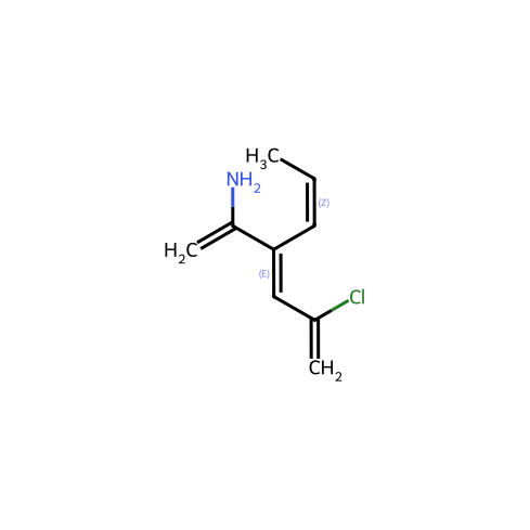 C=C(Cl)/C=C(\C=C/C)C(=C)N